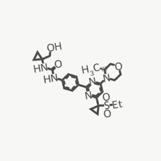 CCS(=O)(=O)C1(c2cc(N3CCOC[C@@H]3C)nc(-c3ccc(NC(=O)NC4(CO)CC4)cc3)n2)CC1